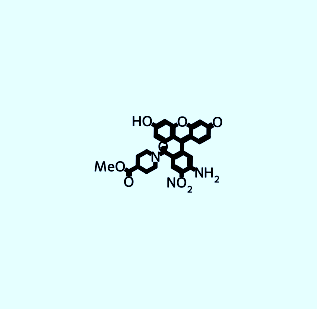 COC(=O)C1CCN(C(=O)c2cc([N+](=O)[O-])c(N)cc2-c2c3ccc(=O)cc-3oc3cc(O)ccc23)CC1